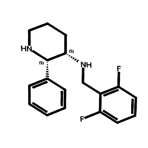 Fc1cccc(F)c1CN[C@H]1CCCN[C@H]1c1ccccc1